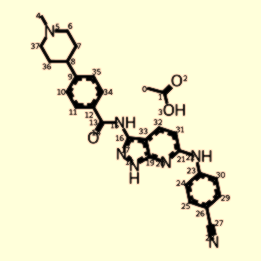 CC(=O)O.CN1CCC(c2ccc(C(=O)Nc3n[nH]c4nc(Nc5ccc(C#N)cc5)ccc34)cc2)CC1